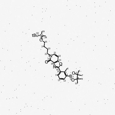 Cc1c(B2OC(C)(C)C(C)(C)O2)cccc1-c1nc2c(=O)n(CCCCO[Si](C)(C)C(C)(C)C)ccc2o1